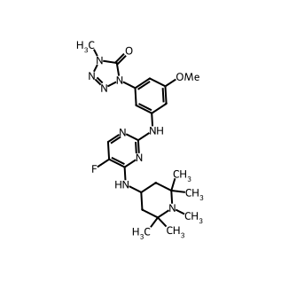 COc1cc(Nc2ncc(F)c(NC3CC(C)(C)N(C)C(C)(C)C3)n2)cc(-n2nnn(C)c2=O)c1